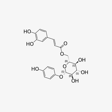 O=C(C=Cc1ccc(O)c(O)c1)OC[C@H]1O[C@@H](Oc2ccc(O)cc2)[C@H](O)[C@@H](O)[C@@H]1O